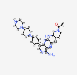 C=CC(=O)N1CCCC(Nc2nc3c(-c4ccc(N5CCC(N6CCN(C)CC6)CC5)cc4)cnc(N)c3nc2CC)C1